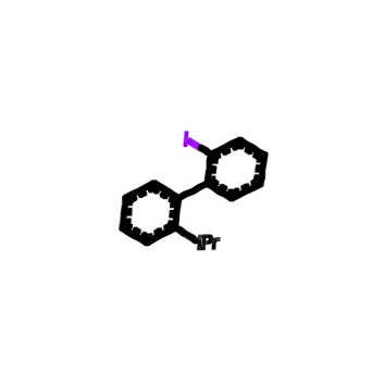 CC(C)c1ccccc1-c1ccccc1I